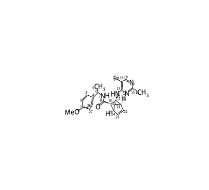 COc1ccc([C@@H](C)NC(=O)[C@H]2[C@@H](Nc3nc(C)ncc3F)[C@H]3C=C[C@@H]2C3)cc1